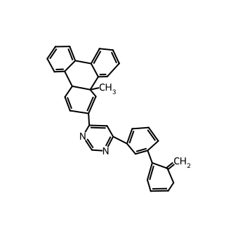 C=C1CC=CC=C1c1cccc(-c2cc(C3=CC4(C)c5ccccc5-c5ccccc5C4C=C3)ncn2)c1